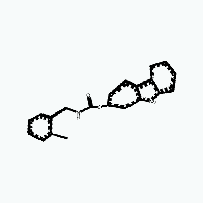 Cc1ccccc1CNC(=O)Cc1ccc2c(c1)[nH]c1ccccc12